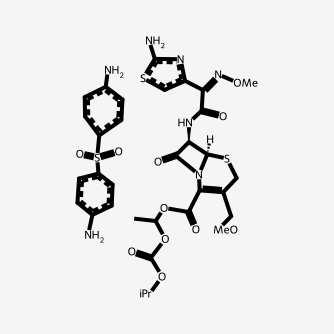 COCC1=C(C(=O)OC(C)OC(=O)OC(C)C)N2C(=O)[C@@H](NC(=O)/C(=N\OC)c3csc(N)n3)[C@H]2SC1.Nc1ccc(S(=O)(=O)c2ccc(N)cc2)cc1